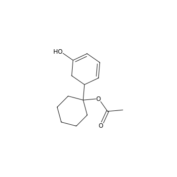 CC(=O)OC1(C2C=CC=C(O)C2)CCCCC1